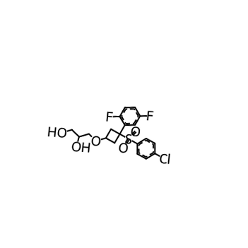 O=S(=O)(c1ccc(Cl)cc1)C1(c2cc(F)ccc2F)CC(OCC(O)CO)C1